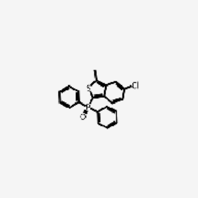 Cc1sc(P(=O)(c2ccccc2)c2ccccc2)c2ccc(Cl)cc12